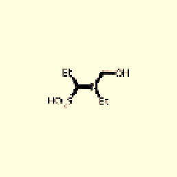 CCC(N(CC)CO)S(=O)(=O)O